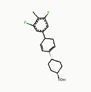 CCCCCCCCCC[C@H]1CC[C@H](C2=CCC(c3cc(F)c(C)c(F)c3)C=C2)CC1